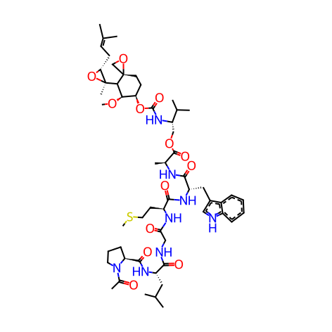 CO[C@H]1C([C@@]2(C)O[C@@H]2CC=C(C)C)[C@]2(CC[C@H]1OC(=O)N[C@@H](COC(=O)[C@H](C)NC(=O)[C@H](Cc1c[nH]c3ccccc13)NC(=O)[C@H](CCSC)NC(=O)CNC(=O)[C@H](CC(C)C)NC(=O)[C@@H]1CCCN1C(C)=O)C(C)C)CO2